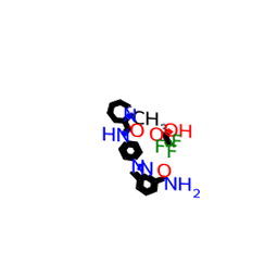 CN1CCCCCC1C(=O)Nc1ccc(-n2cc3cccc(C(N)=O)c3n2)cc1.O=C(O)C(F)(F)F